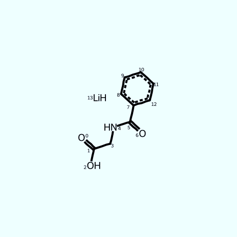 O=C(O)CNC(=O)c1ccccc1.[LiH]